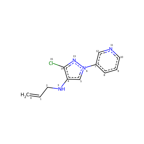 C=CCNc1cn(-c2cccnc2)nc1Cl